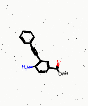 COC(=O)c1ccc(N)c(C#Cc2ccccc2)c1